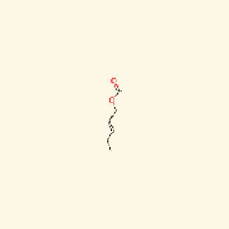 CCC=CCO[C]=O